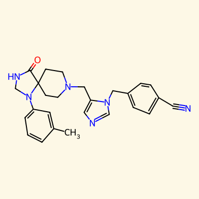 Cc1cccc(N2CNC(=O)C23CCN(Cc2cncn2Cc2ccc(C#N)cc2)CC3)c1